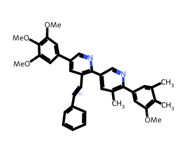 COc1cc(-c2ncc(-c3ncc(-c4cc(OC)c(OC)c(OC)c4)cc3/C=C/c3ccccc3)cc2C)cc(C)c1C